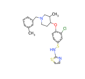 Cc1cccc(CN2CCC(Oc3ccc(SNc4nccs4)cc3Cl)C(C)C2)c1